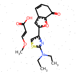 CCN(CC)c1nc(-c2cc3c(o2)C(=O)CC=C3)cs1.CO/C=C/C(=O)O